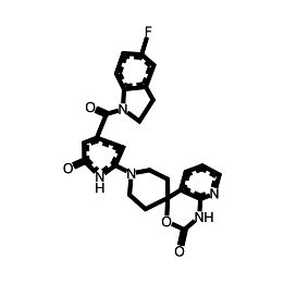 O=C1Nc2ncccc2C2(CCN(c3cc(C(=O)N4CCc5cc(F)ccc54)cc(=O)[nH]3)CC2)O1